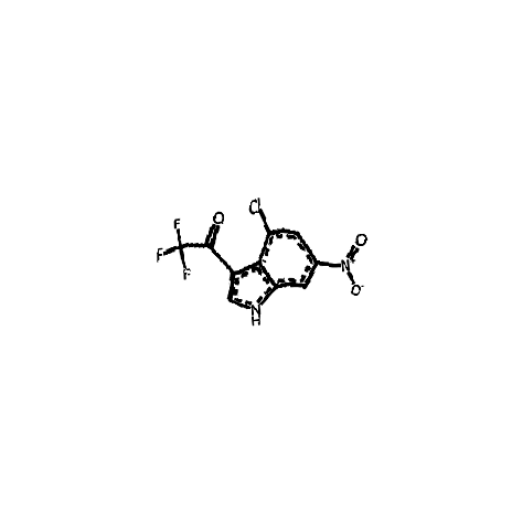 O=C(c1c[nH]c2cc([N+](=O)[O-])cc(Cl)c12)C(F)(F)F